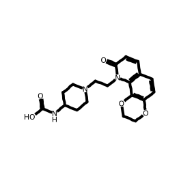 O=C(O)NC1CCN(CCn2c(=O)ccc3ccc4c(c32)OCCO4)CC1